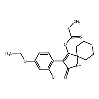 CCOc1ccc(C2=C(OC(=S)SC)C3(CCSCC3)NC2=O)c(Br)c1